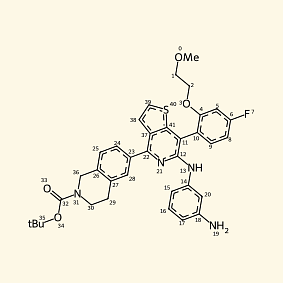 COCCOc1cc(F)ccc1-c1c(Nc2cccc(N)c2)nc(-c2ccc3c(c2)CCN(C(=O)OC(C)(C)C)C3)c2ccsc12